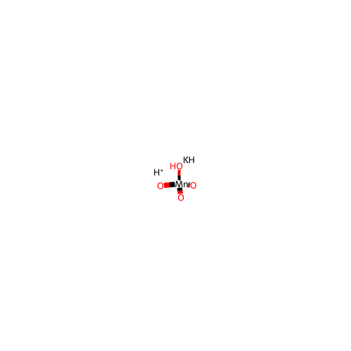 [H+].[KH].[O]=[Mn](=[O])(=[O])[OH]